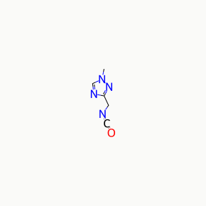 Cn1cnc(CN=C=O)n1